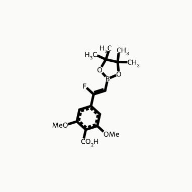 COc1cc(C(F)=CB2OC(C)(C)C(C)(C)O2)cc(OC)c1C(=O)O